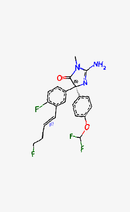 CN1C(=O)[C@](c2ccc(OC(F)F)cc2)(c2ccc(F)c(/C=C/CCF)c2)N=C1N